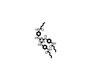 CCCCC(=O)Nc1ccc(Nc2nc(Nc3ccc(NC(=O)CCCC)cc3)nc(Nc3ccc(NC(=O)CCCC)cc3)n2)cc1